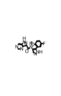 COc1ccc(F)cc1-c1[nH]ncc1NC(=O)c1n[nH]c2cncnc12